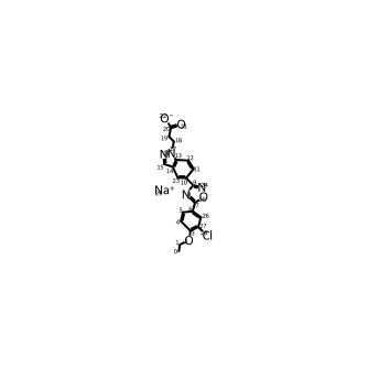 CCOc1ccc(-c2nc(-c3ccc4c(cnn4CCC(=O)[O-])c3)no2)cc1Cl.[Na+]